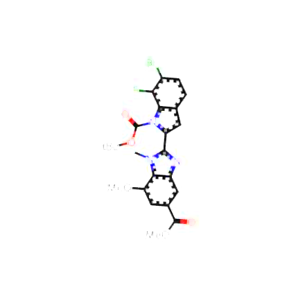 COC(=O)c1cc(OC)c2c(c1)nc(-c1cc3ccc(Br)c(F)c3n1C(=O)OC(C)(C)C)n2C